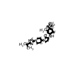 Cc1cc(N[C@H]2CCN(C3CCN(c4nc(C(C)C)ns4)CC3)C2=O)c(F)cc1S(C)(=O)=O